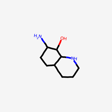 NC1CCC2CCCNC2C1O